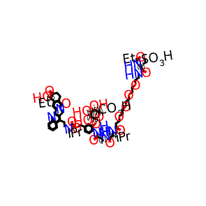 CCC(=O)N[C@@H](CS(=O)(=O)O)C(=O)NCCOCCOCCOCCOCCC(=O)N[C@H](C(=O)N[C@@H](C)C(=O)Nc1ccc(COC(=O)N(CCc2c3c(nc4ccccc24)-c2cc4c(c(=O)n2C3)CCC(=O)[C@]4(O)CC)C(C)C)cc1O[C@@H]1O[C@H](C(=O)O)[C@@H](O)[C@H](O)[C@H]1O)C(C)C